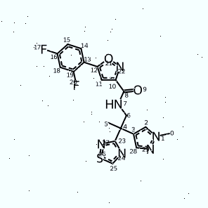 Cn1cc(C(C)(CNC(=O)c2cc(-c3ccc(F)cc3F)on2)c2ncsn2)cn1